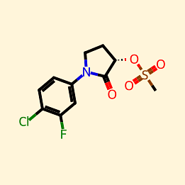 CS(=O)(=O)O[C@H]1CCN(c2ccc(Cl)c(F)c2)C1=O